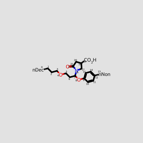 CCCCCCCCCCCCCOCCC(Oc1ccc(CCCCCCCCC)cc1)N1CC(C(=O)O)CC1=O